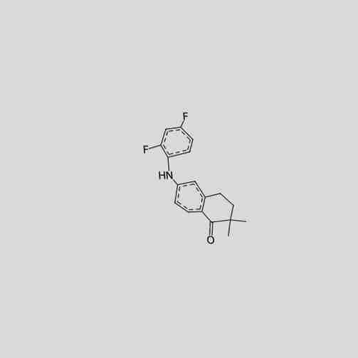 CC1(C)CCc2cc(Nc3ccc(F)cc3F)ccc2C1=O